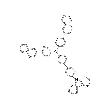 c1ccc2cc(-c3ccc(N(c4ccc(-c5ccc(-n6c7ccccc7c7ccccc76)cc5)cc4)c4ccc(-c5ccc6ccccc6c5)cc4)cc3)ccc2c1